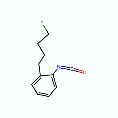 O=C=Nc1ccccc1CCCCF